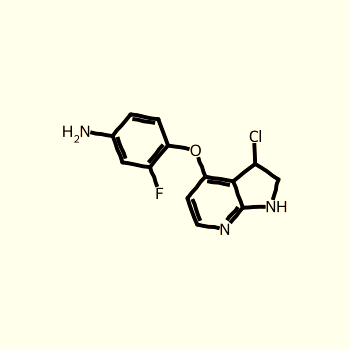 Nc1ccc(Oc2ccnc3c2C(Cl)CN3)c(F)c1